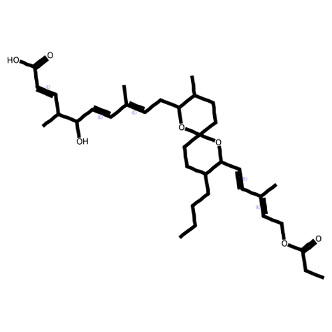 CCCCC1CCC2(CCC(C)C(C/C=C(C)/C=C/C(O)C(C)/C=C/C(=O)O)O2)OC1/C=C/C(C)=C/COC(=O)CC